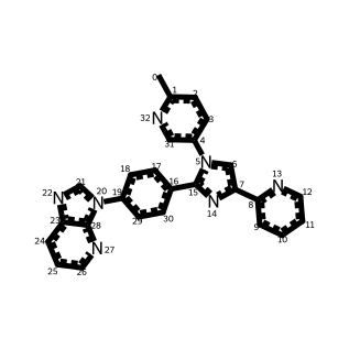 Cc1ccc(-n2cc(-c3ccccn3)nc2-c2ccc(-n3cnc4cccnc43)cc2)cn1